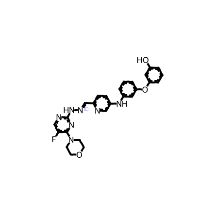 Oc1cccc(Oc2cccc(Nc3ccc(/C=N/Nc4ncc(F)c(N5CCOCC5)n4)nc3)c2)c1